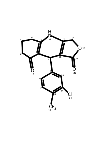 O=C1CCCC2=C1C(c1ccc(C(F)(F)F)c(Cl)c1)C1=C(COC1=O)N2